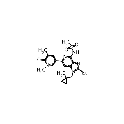 CCc1nc2c(NS(C)(=O)=O)nc(-c3cc(C)c(=O)n(C)c3)cc2n1CC1(C)CC1